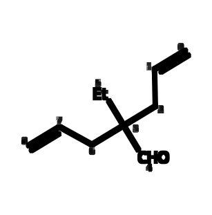 C=CCC(C=O)(CC)CC=C